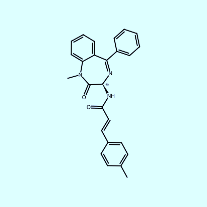 Cc1ccc(C=CC(=O)N[C@@H]2N=C(c3ccccc3)c3ccccc3N(C)C2=O)cc1